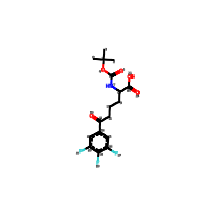 CC(C)(C)OC(=O)NC(CCCC(=O)c1cc(F)c(F)c(F)c1)C(=O)O